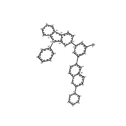 Brc1cc(-c2ccc3cc(-c4ccccc4)ccc3c2)cc(-c2ccc3c4ccccc4n(-c4ccccc4)c3c2)c1